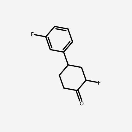 O=C1CCC(c2cccc(F)c2)CC1F